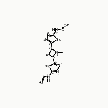 CN1[C@@H](c2nnc(NC=O)s2)C[C@H]1c1nnc(NC=O)s1